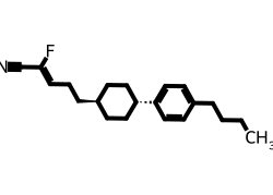 CCCCc1ccc([C@H]2CC[C@H](CCC=C(F)C#N)CC2)cc1